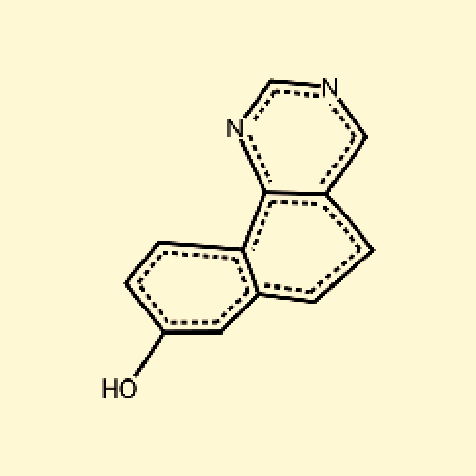 Oc1ccc2c(ccc3cncnc32)c1